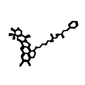 CC[C@@]1(O)C(=O)OCc2c1cc1n(c2=O)Cc2c-1cc1cc(F)c(C)c3c1c2N(OCCOCNC(=O)CNC(=O)CCc1ccccc1)CC3